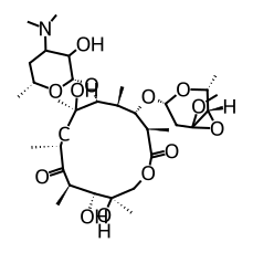 COC12C[C@H](O[C@H]3[C@H](C)[C@@H](O[C@@H]4O[C@H](C)CC(N(C)C)C4O)[C@](C)(O)C[C@@H](C)C(=O)[C@H](C)[C@@H](O)[C@](C)(O)COC(=O)[C@@H]3C)O[C@H](C)[C@@H]1O2